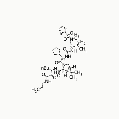 C=CCNC(=O)C(=O)C(CCCC)NC(=O)[C@@H]1[C@@H]2[C@H](CN1C(=O)[C@@H](NC(=O)N[C@H](CN(C)S(=O)(=O)c1cccs1)C(=C)C)C1CCCC1)C2(C)C